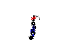 COC(=O)CC[C@H]1CC[C@H](N2C=CN(c3cnc4c(n3)CCN(Cc3ccccc3)CC4)C2)CC1